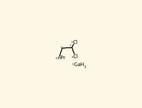 [CH2]CCCC(Cl)Cl.[GaH3]